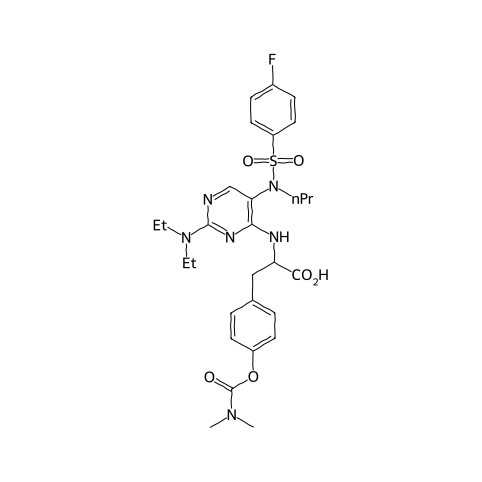 CCCN(c1cnc(N(CC)CC)nc1NC(Cc1ccc(OC(=O)N(C)C)cc1)C(=O)O)S(=O)(=O)c1ccc(F)cc1